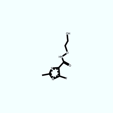 Cc1nc(F)c(C(=O)NOCCO)s1